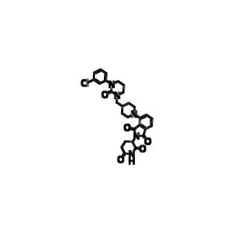 O=C1CCC(N2C(=O)c3cccc(N4CCC(CN5CCCN(c6cccc(Cl)c6)C5=O)CC4)c3C2=O)C(=O)N1